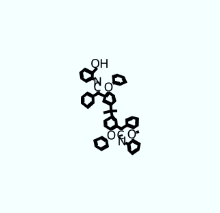 COc1ccccc1N=C=C(c1ccccc1)c1cc(C(C)(C)c2ccc(Oc3ccccc3)c(C(=C=Nc3ccccc3CO)c3ccccc3)c2)ccc1Oc1ccccc1